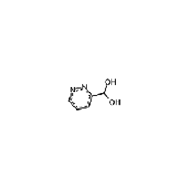 OC(O)c1cccnn1